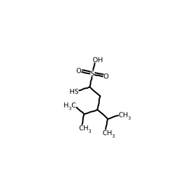 CC(C)C(CC(S)S(=O)(=O)O)C(C)C